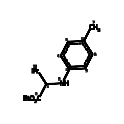 CCOC(=O)C(Nc1ccc(C)cc1)C(C)C